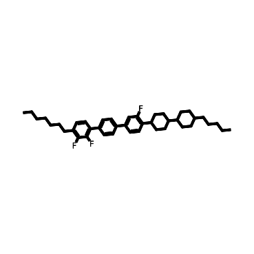 CCCCCCCc1ccc(-c2ccc(-c3ccc(C4CCC(C5CCC(CCCCC)CC5)CC4)c(F)c3)cc2)c(F)c1F